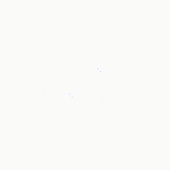 CN(C)CCN(C)C.[Zn]